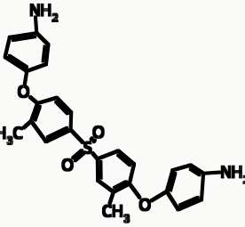 Cc1cc(S(=O)(=O)c2ccc(Oc3ccc(N)cc3)c(C)c2)ccc1Oc1ccc(N)cc1